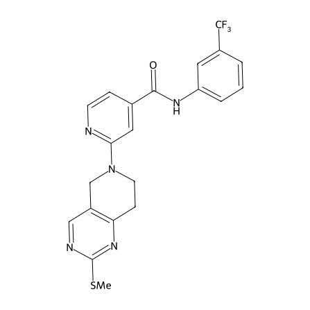 CSc1ncc2c(n1)CCN(c1cc(C(=O)Nc3cccc(C(F)(F)F)c3)ccn1)C2